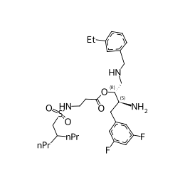 CCCC(CCC)CS(=O)(=O)NCCC(=O)O[C@H](CNCc1cccc(CC)c1)[C@@H](N)Cc1cc(F)cc(F)c1